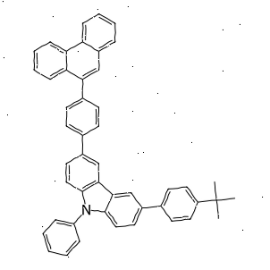 CC(C)(C)c1ccc(-c2ccc3c(c2)c2cc(-c4ccc(-c5cc6ccccc6c6ccccc56)cc4)ccc2n3-c2ccccc2)cc1